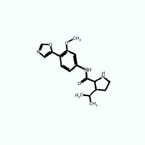 COc1cc(NC(=O)C2NCCC2C(C)C)ccc1-c1cnco1